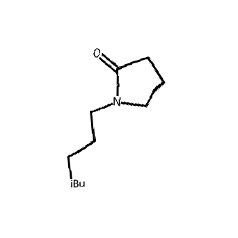 CCC(C)CCCN1CCCC1=O